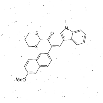 COc1ccc2cc(C(=Cc3cn(C)c4ccccc34)C(=O)C3SCCCS3)ccc2c1